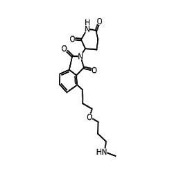 CNCCCOCCCc1cccc2c1C(=O)N(C1CCC(=O)NC1=O)C2=O